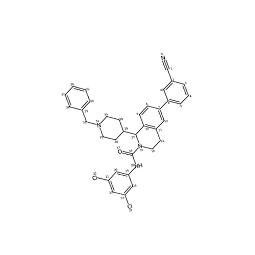 N#Cc1cccc(-c2ccc3c(c2)CCN(C(=O)Nc2cc(Cl)cc(Cl)c2)C3C2CCN(Cc3ccccc3)CC2)c1